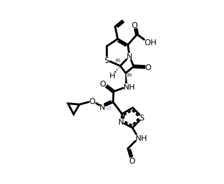 C=CC1=C(C(=O)O)N2C(=O)[C@@H](NC(=O)/C(=N\OC3CC3)c3csc(NC=O)n3)[C@H]2SC1